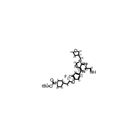 CC(C)(C)OC(=O)N1CCC(CCOc2ccc(-c3nc(C=N)nc4c3ncn4CC3CCOC3)cc2C(F)(F)F)CC1